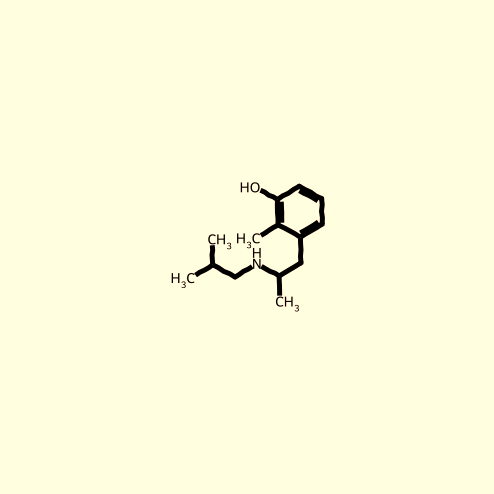 Cc1c(O)cccc1CC(C)NCC(C)C